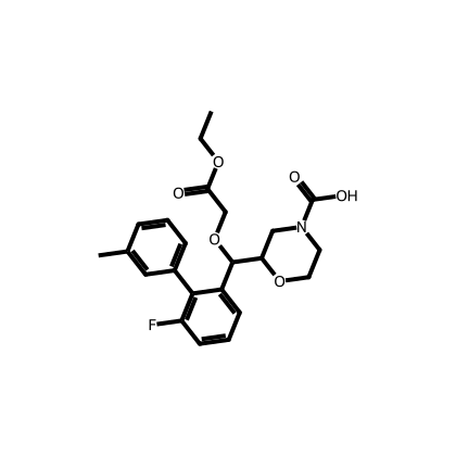 CCOC(=O)COC(c1cccc(F)c1-c1cccc(C)c1)C1CN(C(=O)O)CCO1